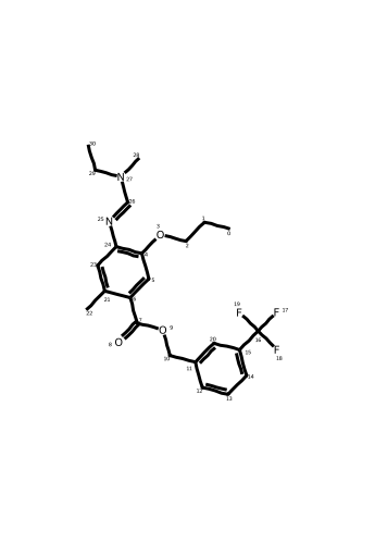 CCCOc1cc(C(=O)OCc2cccc(C(F)(F)F)c2)c(C)cc1/N=C/N(C)CC